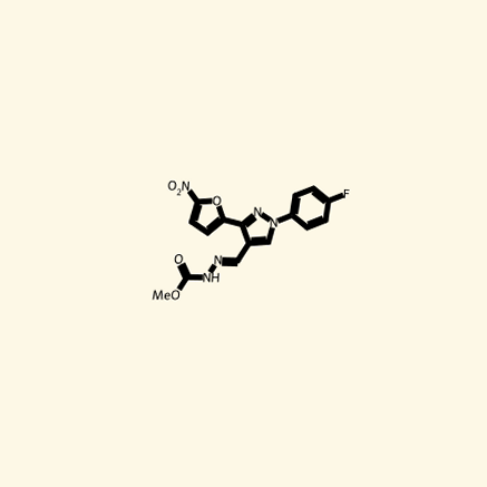 COC(=O)NN=Cc1cn(-c2ccc(F)cc2)nc1-c1ccc([N+](=O)[O-])o1